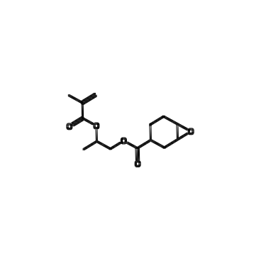 C=C(C)C(=O)OC(C)COC(=O)C1CCC2OC2C1